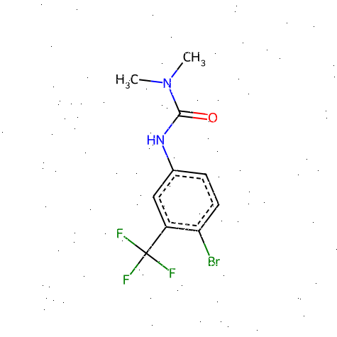 CN(C)C(=O)Nc1ccc(Br)c(C(F)(F)F)c1